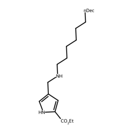 CCCCCCCCCCCCCCCCNCc1c[nH]c(C(=O)OCC)c1